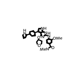 CNC(=O)c1ccc(Nc2nc(OC3CCOCC3)c3c(-c4ccc(-c5ccc[nH]5)cc4)c[nH]c3n2)c(OC)c1